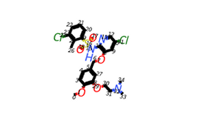 COc1ccc(COc2cc(Cl)cnc2NS(=O)(=O)c2cccc(Cl)c2C)cc1OCCN(C)C